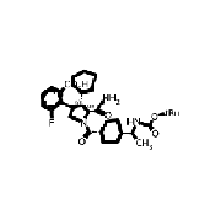 CC(NC(=O)OC(C)(C)C)[C@H]1CC[C@H](C(=O)N2CC(c3c(F)cccc3C(=O)O)[C@H](C3CCCCC3)[C@H]2C(N)=O)CC1